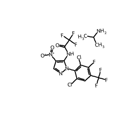 CC(C)N.O=C(Nc1c([N+](=O)[O-])cnn1-c1c(Cl)cc(C(F)(F)F)c(F)c1Cl)C(F)(F)F